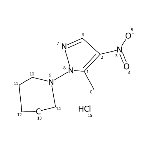 Cc1c([N+](=O)[O-])cnn1N1CCCCC1.Cl